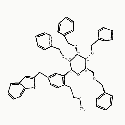 COCOc1ccc(Cc2cc3ccccc3s2)cc1[C@@H]1O[C@H](COCc2ccccc2)[C@@H](OCc2ccccc2)[C@H](OCc2ccccc2)[C@H]1OCc1ccccc1